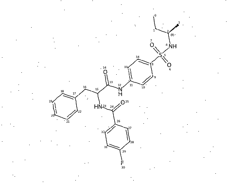 CC[C@@H](C)NS(=O)(=O)c1ccc(NC(=O)C(Cc2ccccc2)NC(=O)c2ccc(F)cc2)cc1